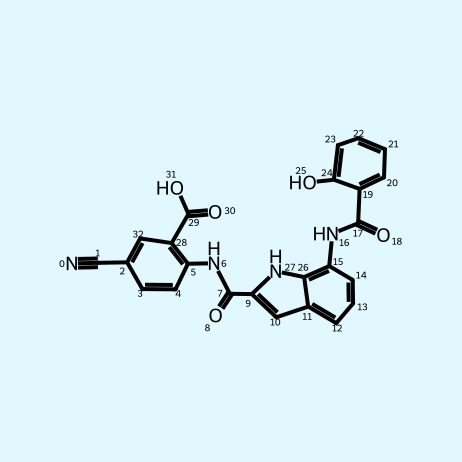 N#Cc1ccc(NC(=O)c2cc3cccc(NC(=O)c4ccccc4O)c3[nH]2)c(C(=O)O)c1